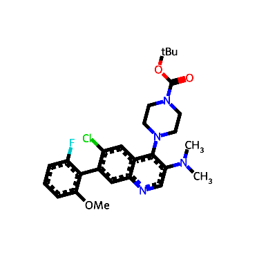 COc1cccc(F)c1-c1cc2ncc(N(C)C)c(N3CCN(C(=O)OC(C)(C)C)CC3)c2cc1Cl